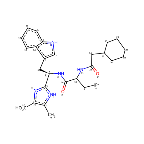 Cc1[nH]c([C@@H](Cc2c[nH]c3ccccc23)NC(=O)C(CC(C)C)NC(=O)CC2CCCCC2)nc1C(=O)O